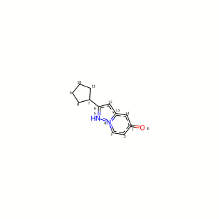 O=c1ccn2[nH]c(C3CCCC3)cc2c1